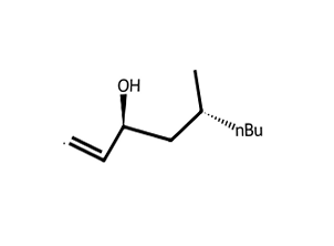 [CH]=C[C@@H](O)C[C@H](C)CCCC